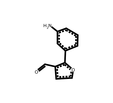 Nc1cccc(-c2occc2C=O)c1